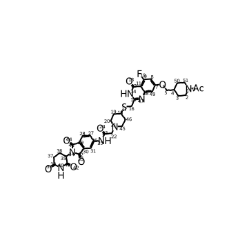 CC(=O)N1CCC(COc2cc(F)c3c(=O)[nH]c(CSC4CCN(CC(=O)Nc5ccc6c(c5)C(=O)N(C5CCC(=O)NC5=O)C6=O)CC4)nc3c2)CC1